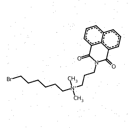 C[N+](C)(CCCCCCBr)CCCN1C(=O)c2cccc3cccc(c23)C1=O